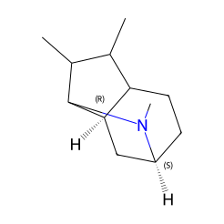 CC1C(C)C2[C@@H]3C[C@H](CCC13)N2C